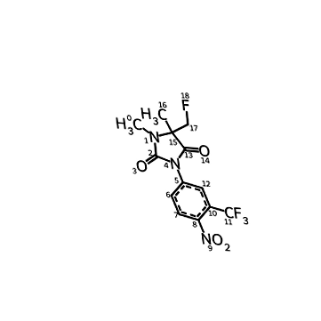 CN1C(=O)N(c2ccc([N+](=O)[O-])c(C(F)(F)F)c2)C(=O)C1(C)CF